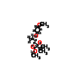 CCOC(=O)C(C(=O)CCC1(COc2ccc(OC)cc2)CC1)C(C)C